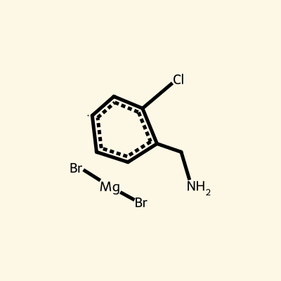 NCc1cc[c]cc1Cl.[Br][Mg][Br]